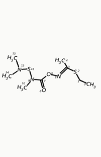 CCSC(C)=NOC(=O)N(C)SN(C)C